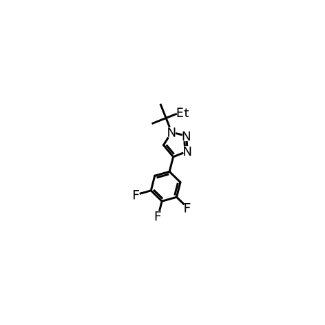 CCC(C)(C)n1cc(-c2cc(F)c(F)c(F)c2)nn1